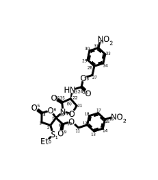 CCSC1CC(=O)OC1(C(=O)OCc1ccc([N+](=O)[O-])cc1)N1OC[C@H](NC(=O)OCc2ccc([N+](=O)[O-])cc2)C1=O